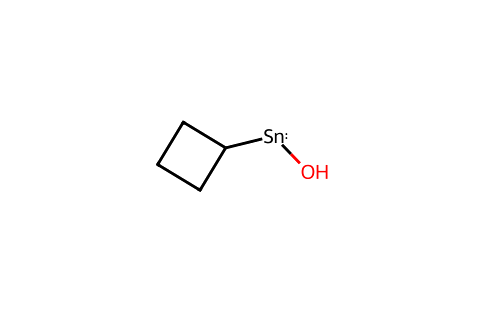 [OH][Sn][CH]1CCC1